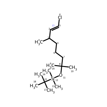 CC(/C=C/Cl)CCCC(C)(C)O[Si](C)(C)C(C)(C)C